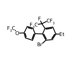 CCc1[c]c(Br)c(-c2ccc(OC(F)(F)F)cc2)c(C(F)(C(F)(F)F)C(F)(F)F)c1